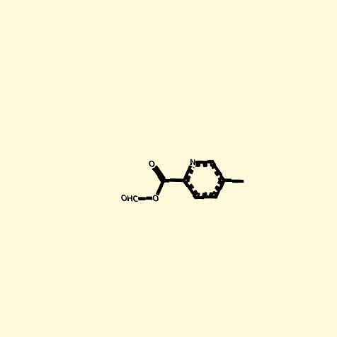 Cc1ccc(C(=O)OC=O)nc1